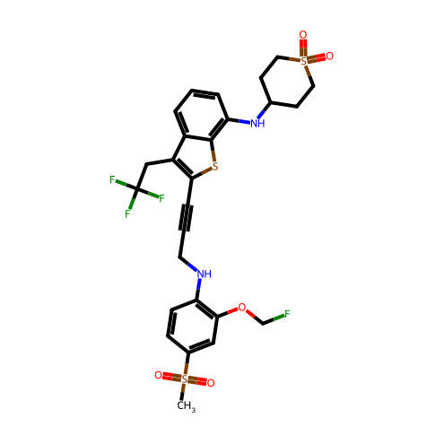 CS(=O)(=O)c1ccc(NCC#Cc2sc3c(NC4CCS(=O)(=O)CC4)cccc3c2CC(F)(F)F)c(OCF)c1